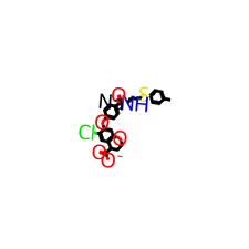 Cc1ccc(SCCNC(=O)c2ccc(Oc3cc4c(cc3Cl)C(C(=O)[O-])CCO4)cc2)cc1.[Na+]